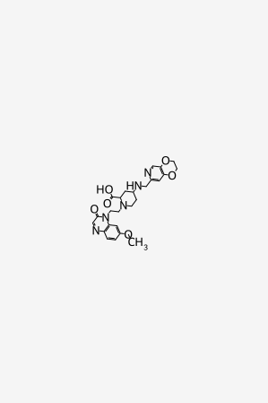 COc1ccc2ncc(=O)n(CCN3CCC(NCc4cc5c(cn4)OCCO5)CC3C(=O)O)c2c1